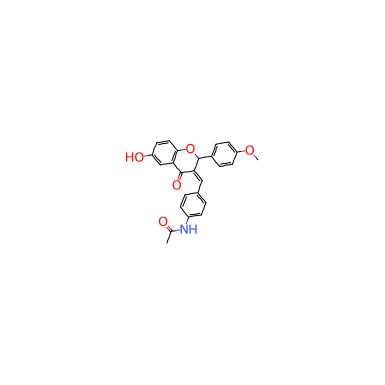 COc1ccc(C2Oc3ccc(O)cc3C(=O)C2=Cc2ccc(NC(C)=O)cc2)cc1